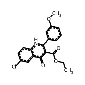 CCOC(=O)c1c(-c2cccc(OC)c2)[nH]c2ccc(Cl)cc2c1=O